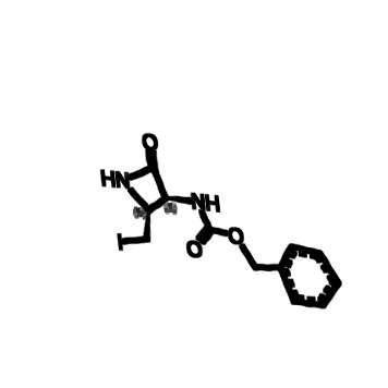 O=C(N[C@@H]1C(=O)N[C@@H]1CI)OCc1ccccc1